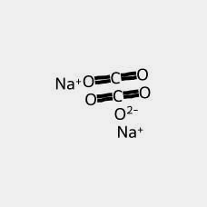 O=C=O.O=C=O.[Na+].[Na+].[O-2]